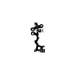 CS(=O)(=O)NC(=O)CCC1CNC1